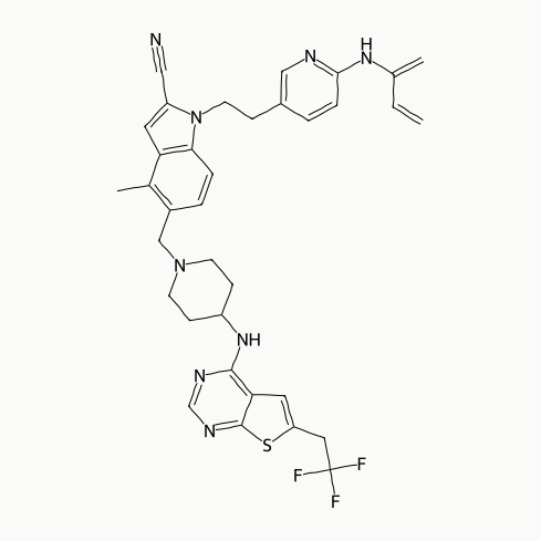 C=CC(=C)Nc1ccc(CCn2c(C#N)cc3c(C)c(CN4CCC(Nc5ncnc6sc(CC(F)(F)F)cc56)CC4)ccc32)cn1